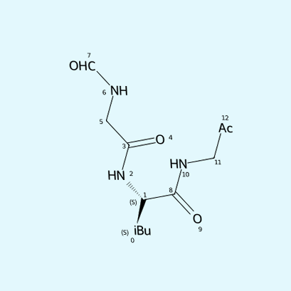 CC[C@H](C)[C@H](NC(=O)CNC=O)C(=O)NCC(C)=O